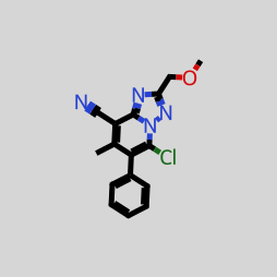 COCc1nc2c(C#N)c(C)c(-c3ccccc3)c(Cl)n2n1